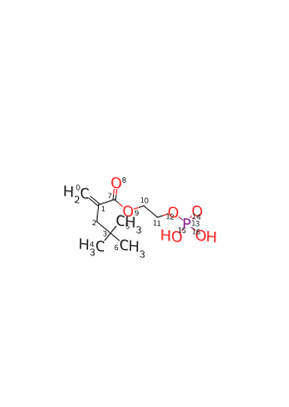 C=C(CC(C)(C)C)C(=O)OCCOP(=O)(O)O